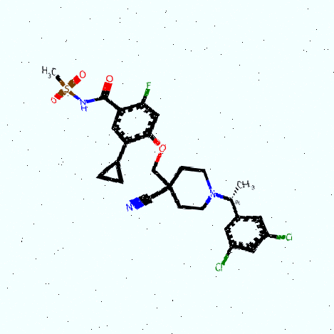 C[C@H](c1cc(Cl)cc(Cl)c1)N1CCC(C#N)(COc2cc(F)c(C(=O)NS(C)(=O)=O)cc2C2CC2)CC1